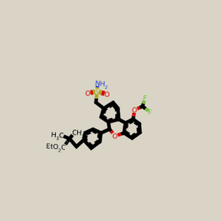 CCOC(=O)C(C)(C)Cc1ccc(C2Oc3cccc(OC(F)F)c3-c3ccc(CS(N)(=O)=O)cc32)cc1